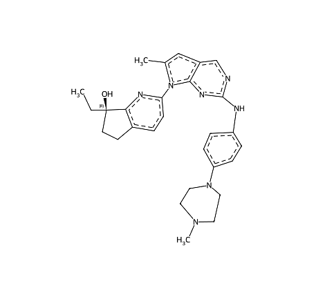 CC[C@@]1(O)CCc2ccc(-n3c(C)cc4cnc(Nc5ccc(N6CCN(C)CC6)cc5)nc43)nc21